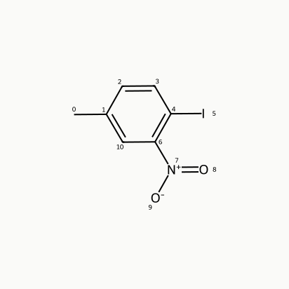 Cc1ccc(I)c([N+](=O)[O-])c1